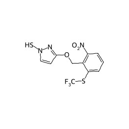 O=[N+]([O-])c1cccc(SC(F)(F)F)c1COc1ccn(S)n1